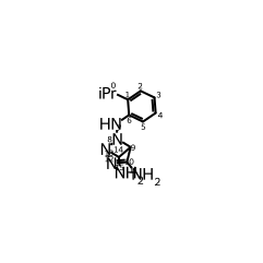 CC(C)c1ccccc1NN1C2C(N)=NN1C2N